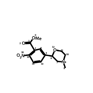 COC(=O)c1cc(C2CN(C)CCO2)ccc1[N+](=O)[O-]